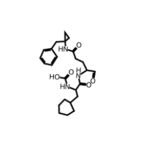 O=CC(CCC(=O)NC1(Cc2ccccc2)CC1)NC(=O)C(CC1CCCCC1)NC(=O)O